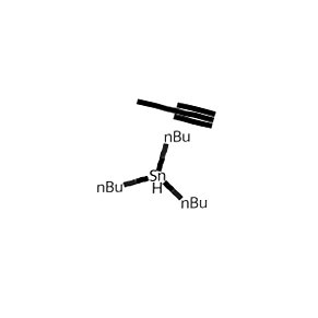 C#CC.CCC[CH2][SnH]([CH2]CCC)[CH2]CCC